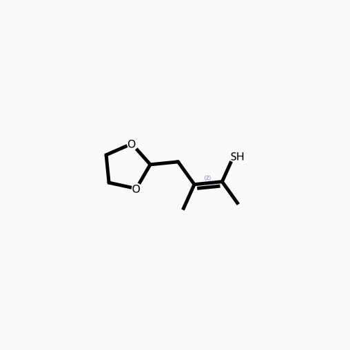 C/C(S)=C(\C)CC1OCCO1